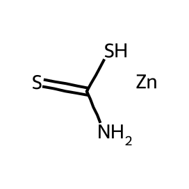 NC(=S)S.[Zn]